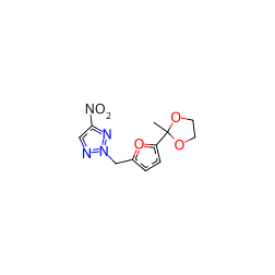 CC1(c2ccc(Cn3ncc([N+](=O)[O-])n3)o2)OCCO1